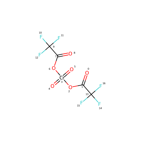 O=C([O][Cr](=[O])(=[O])[O]C(=O)C(F)(F)F)C(F)(F)F